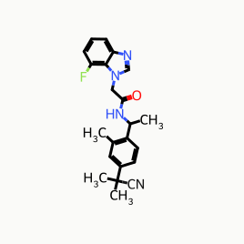 Cc1cc(C(C)(C)C#N)ccc1C(C)NC(=O)Cn1cnc2cccc(F)c21